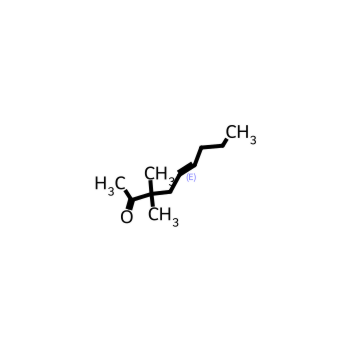 CCC/C=C/CC(C)(C)C(C)=O